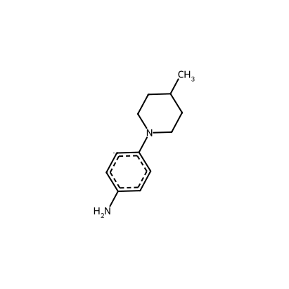 CC1CCN(c2[c]cc(N)cc2)CC1